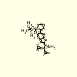 CC(C)(C)OC(=O)N1CCOCC1c1cnn2cc([C@@H](N)C(C3CC3)C3CC3)nc2n1